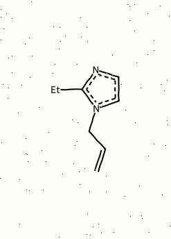 C=CCn1ccnc1CC